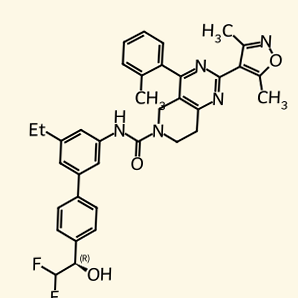 CCc1cc(NC(=O)N2CCc3nc(-c4c(C)noc4C)nc(-c4ccccc4C)c3C2)cc(-c2ccc([C@@H](O)C(F)F)cc2)c1